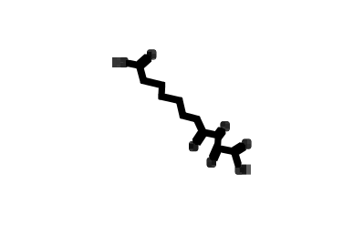 O=C(O)CCCCCCC(=O)C(=O)C(=O)C(=O)O